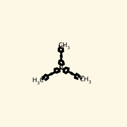 C[n+]1ccc(C#Cc2ccc(N(c3ccc(C#Cc4cc[n+](C)cc4)cc3)c3ccc(C#Cc4cc[n+](C)cc4)cc3)cc2)cc1